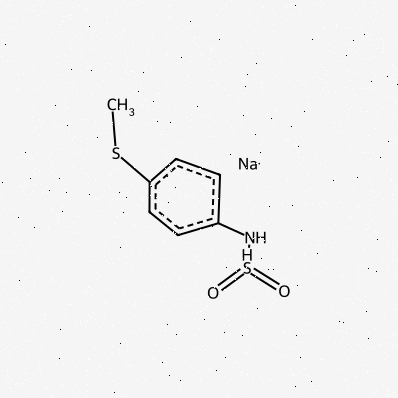 CSc1ccc(N[SH](=O)=O)cc1.[Na]